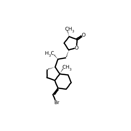 C[C@H](C[C@@H]1C[C@H](C)C(=O)O1)[C@H]1CCC2/C(=C/Br)CCC[C@@]21C